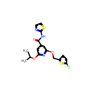 CC(C)Oc1cc(C(=O)Nc2nccs2)cc(OCc2ccc(Cl)s2)n1